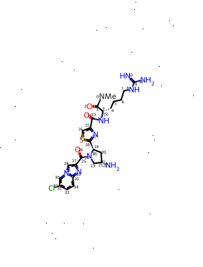 CNC(=O)[C@H](CCCCNC(=N)N)NC(=O)c1csc([C@H]2C[C@H](N)CN2C(=O)c2cn3cc(Cl)ccc3n2)n1